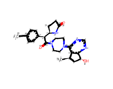 C[C@@H]1C[C@@H](O)c2ncnc(N3CCN(C(=O)[C@@H](c4ccc(C(F)(F)F)cc4)[C@H]4CCC(=O)N4)CC3)c21